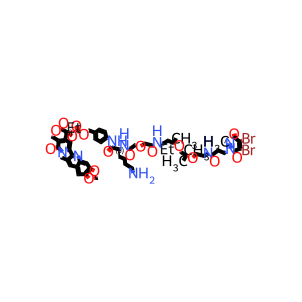 CCC(C)(CCNC(=O)COCC(=O)N[C@@H](CCCCN)C(=O)Nc1ccc(COC(=O)O[C@]2(CC)C(=O)OCc3c2cc2n(c3=O)Cc3cc4cc5c(cc4nc3-2)OCO5)cc1)OCC(C)(C)OCCNC(=O)CCn1c(=O)c(Br)c(Br)c(=O)n1C